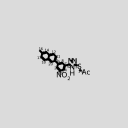 CC(=O)CSc1nnc(-c2cc(-c3ccc4cc(C)ccc4c3)cc([N+](=O)[O-])c2)[nH]1